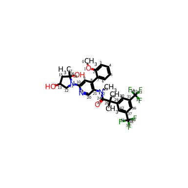 COc1ccccc1-c1cc(N2CC(O)CC2(C)O)ncc1N(C)C(=O)C(C)(C)c1cc(C(F)(F)F)cc(C(F)(F)F)c1